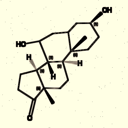 C[C@]12CC[C@H](O)CC1CC(O)[C@@H]1[C@@H]2CC[C@]2(C)C(=O)CC[C@@H]12